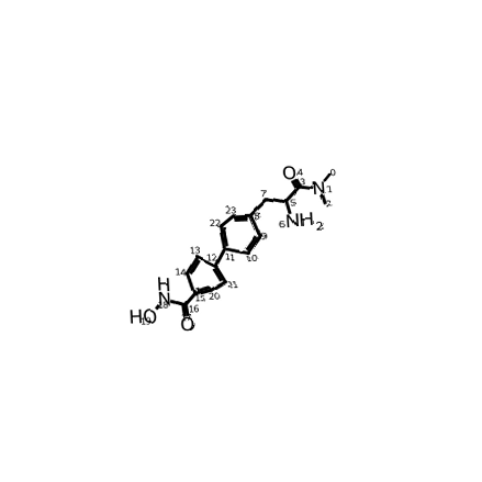 CN(C)C(=O)C(N)Cc1ccc(-c2ccc(C(=O)NO)cc2)cc1